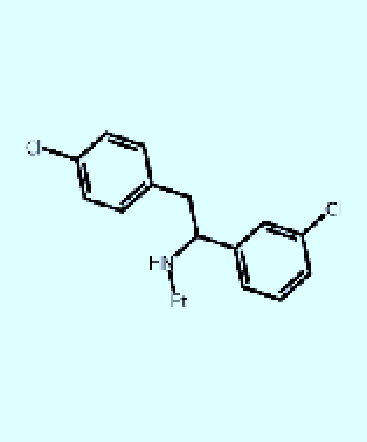 CCNC(Cc1ccc(Cl)cc1)c1cccc(Cl)c1